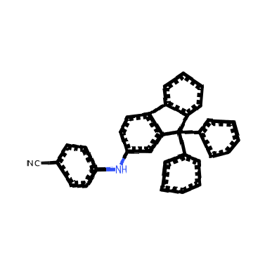 N#Cc1ccc(Nc2ccc3c(c2)C(c2ccccc2)(c2ccccc2)c2ccccc2-3)cc1